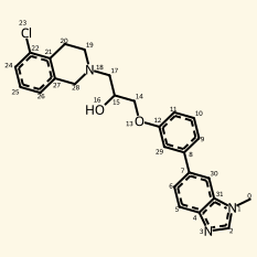 Cn1cnc2ccc(-c3cccc(OCC(O)CN4CCc5c(Cl)cccc5C4)c3)cc21